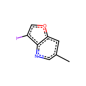 Cc1cnc2c(I)coc2c1